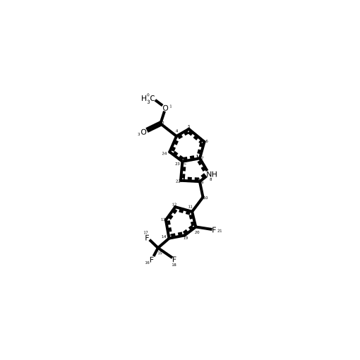 COC(=O)c1ccc2[nH]c(Cc3ccc(C(F)(F)F)cc3F)cc2c1